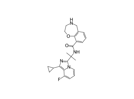 CC(C)(NC(=O)c1cccc2c1OCCNC2)c1nc(C2CC2)c2c(F)cccn12